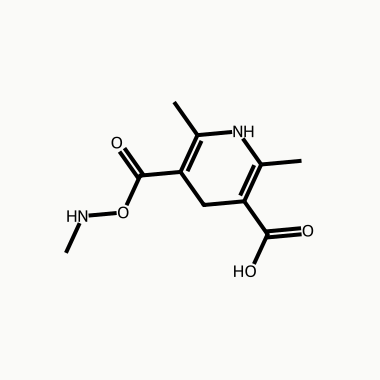 CNOC(=O)C1=C(C)NC(C)=C(C(=O)O)C1